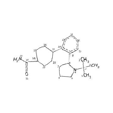 CC(C)(C)N1CCC[C@@H]1c1ccccc1C1CCC(C(N)=O)CC1